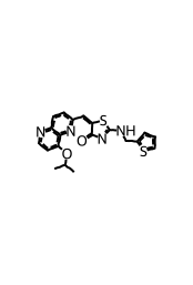 CC(C)Oc1ccnc2ccc(C=C3SC(NCc4cccs4)=NC3=O)nc12